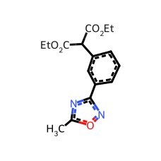 CCOC(=O)C(C(=O)OCC)c1cccc(-c2noc(C)n2)c1